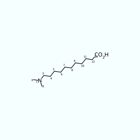 CN(C)CCCCCCCCCCC(=O)O